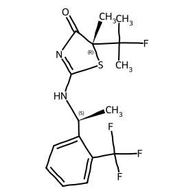 C[C@H](NC1=NC(=O)[C@](C)(C(C)(C)F)S1)c1ccccc1C(F)(F)F